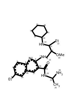 CCc1ccc2nc(NCC(OC)C(CC)NC3CCCCC3)c(C(=O)NC(C)N)cc2c1